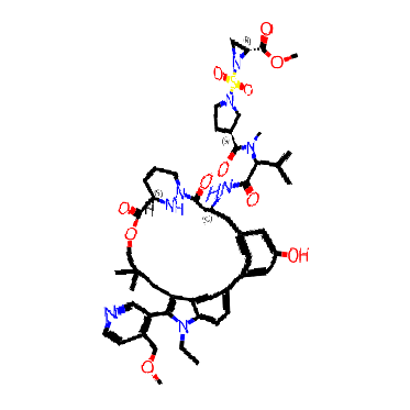 CCn1c(-c2cnccc2COC)c2c3cc(ccc31)-c1cc(O)cc(c1)C[C@H](NC(=O)C(C(C)C)N(C)C(=O)[C@H]1CCN(S(=O)(=O)N3C[C@@H]3C(=O)OC)C1)C(=O)N1CCC[C@H](N1)C(=O)OCC(C)(C)C2